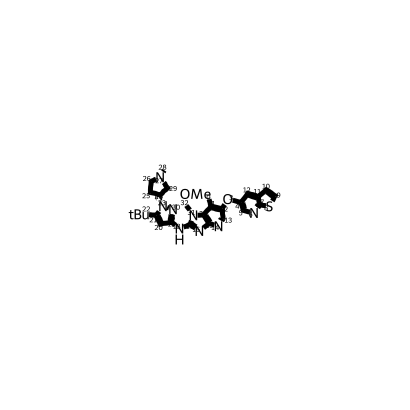 COc1c(Oc2cnc3sccc3c2)cnc2nc(Nc3cc(C(C)(C)C)n([C@@H]4CCN(C)C4)n3)n(C)c12